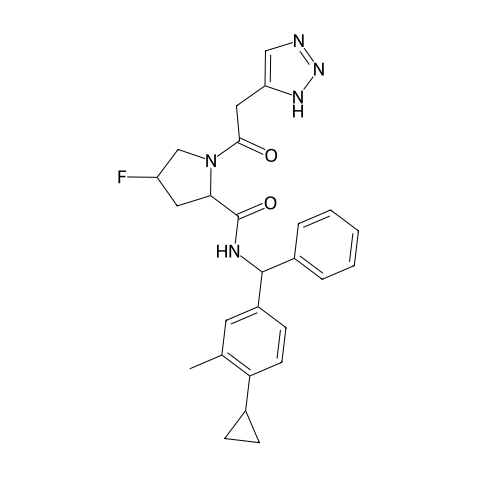 Cc1cc(C(NC(=O)C2CC(F)CN2C(=O)Cc2cnn[nH]2)c2ccccc2)ccc1C1CC1